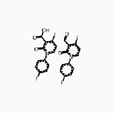 O=C(O)c1c(I)ccn(-c2ccc(F)cc2)c1=O.O=Cc1c(I)ccn(-c2ccc(F)cc2)c1=O